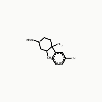 CCCCCCN1CCC(C)(c2cccc(C#N)c2)C(C)C1